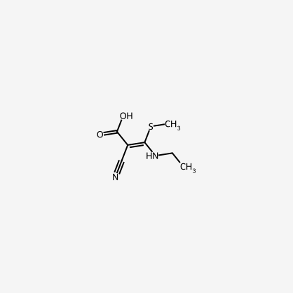 CCN/C(SC)=C(\C#N)C(=O)O